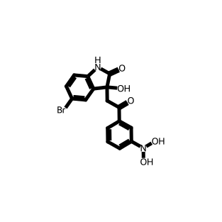 O=C(CC1(O)C(=O)Nc2ccc(Br)cc21)c1cccc(N(O)O)c1